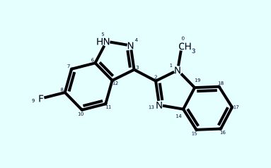 Cn1c(-c2n[nH]c3cc(F)ccc23)nc2ccccc21